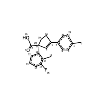 Cc1ccc(C2=C[C@](C(=O)O)(c3cccc(F)c3C)CC2)cn1